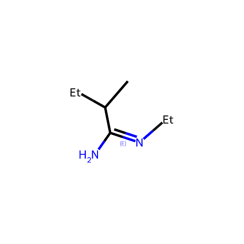 CC/N=C(/N)C(C)CC